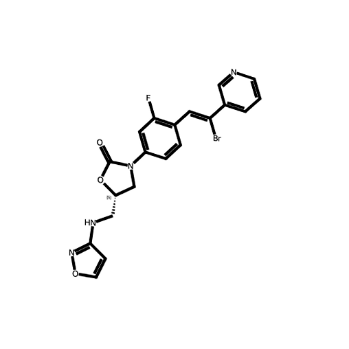 O=C1O[C@@H](CNc2ccon2)CN1c1ccc(C=C(Br)c2cccnc2)c(F)c1